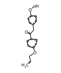 C=CCOc1ccc(C(=O)Cc2ccc(OCCC)cc2)cc1